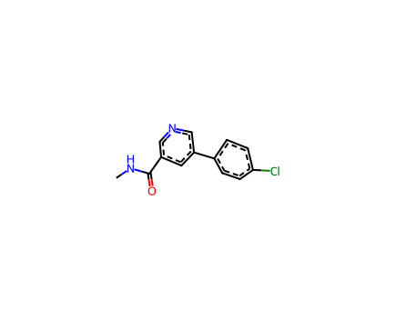 CNC(=O)c1cncc(-c2ccc(Cl)cc2)c1